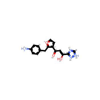 Nc1ccc(Cc2occc2C(=O)C=C(O)c2nc[nH]n2)cc1